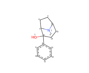 CN1C2CCC1C(O)(c1ccccc1)CC2